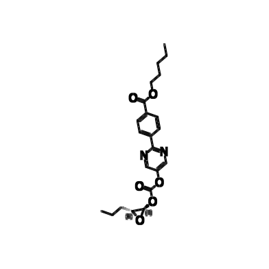 CCCCCOC(=O)c1ccc(-c2ncc(OC(=O)O[C@H]3O[C@@H]3CCC)cn2)cc1